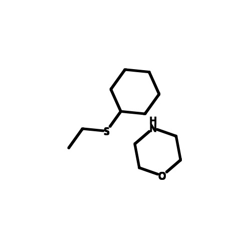 C1COCCN1.CCSC1CCCCC1